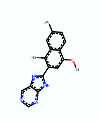 CCCc1ccc2c(OCC)cc(-c3nc4cncnc4[nH]3)c(S)c2c1